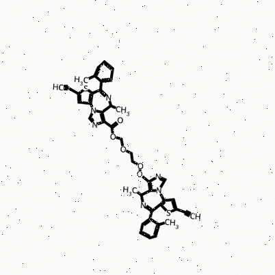 C#Cc1cc2c(s1)C(c1ccccc1C)=NC(C)c1c(OOCCOCOC(=O)c3ncn4c3C(C)N=C(c3ccccc3C)c3sc(C#C)cc3-4)ncn1-2